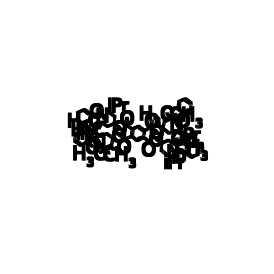 CC(C)C1CC(OC(=O)c2cc(C(=O)OC3CC(C(C)C)N(Oc4ccccc4)C(C)(C)C3)c(C(=O)OC3CC(C(C)C)N(Oc4ccccc4)C(C)(C)C3)cc2C(=O)OC2CC(C(C)C)N(Oc3ccccc3)C(C)(C)C2)CC(C)(C)N1Oc1ccccc1